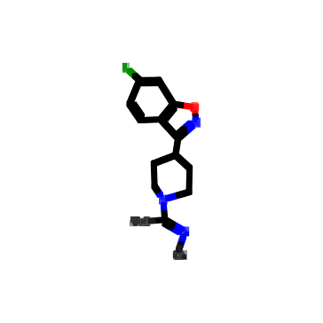 CSC(=NC#N)N1CCC(c2noc3cc(F)ccc23)CC1